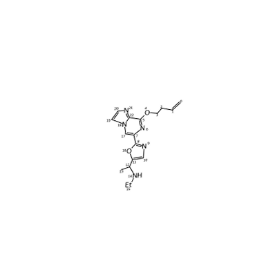 C=CCCOc1nc(-c2ncc(C(C)NCC)o2)cn2ccnc12